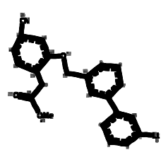 CCc1cccc(-c2cccc(COc3cc(C#N)ccc3CC(=O)OC)c2)c1